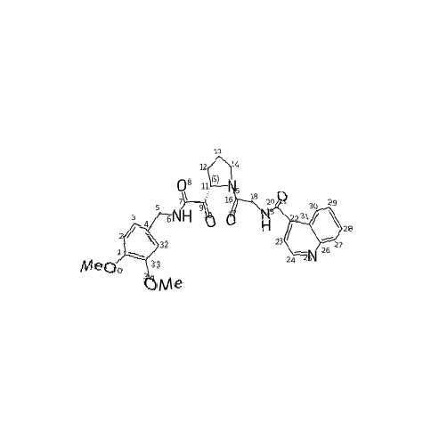 COc1ccc(CNC(=O)C(=O)[C@@H]2CCCN2C(=O)CNC(=O)c2ccnc3ccccc23)cc1OC